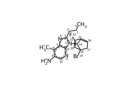 CCCc1nc2c(C)c(N)cnc2n1C1C2=CCC1(Br)C=C2F